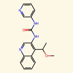 COC(C)c1c(NC(=O)Nc2cccnc2)cnc2ccccc12